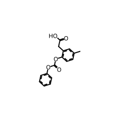 Cc1ccc(OC(=O)Oc2ccccc2)c(CC(=O)O)c1